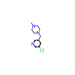 CN1CCN(Cc2cncc(Cl)c2)CC1